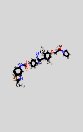 Cc1nc2cc(NC(=O)Oc3ccc4nc(-c5c(C)cc(OCC(=O)N6CCCC6)cc5C)[nH]c4c3)ccc2s1